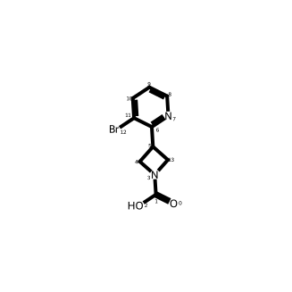 O=C(O)N1CC(c2ncccc2Br)C1